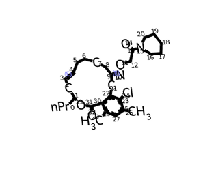 CCCC1C/C=C/CCCC/C(=N\OCC(=O)N2CCCCC2)Cc2c(Cl)c(C)cc(C)c2C(=O)O1